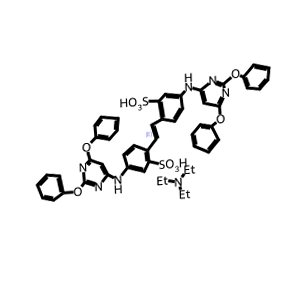 CCN(CC)CC.O=S(=O)(O)c1cc(Nc2cc(Oc3ccccc3)nc(Oc3ccccc3)n2)ccc1/C=C/c1ccc(Nc2cc(Oc3ccccc3)nc(Oc3ccccc3)n2)cc1S(=O)(=O)O